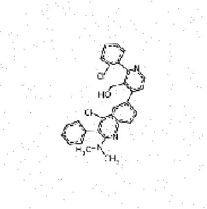 CN(C)c1nc2ccc(-c3ccnc(-c4ccccc4Cl)c3CO)cc2c(Cl)c1-c1ccccc1